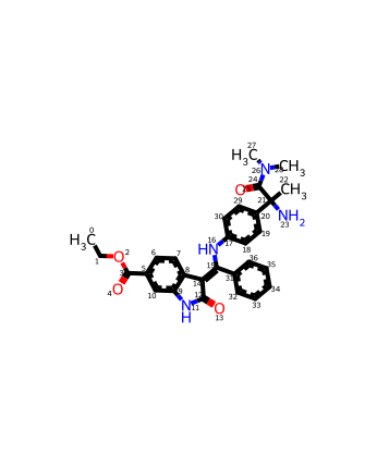 CCOC(=O)c1ccc2c(c1)NC(=O)C2=C(Nc1ccc(C(C)(N)C(=O)N(C)C)cc1)c1ccccc1